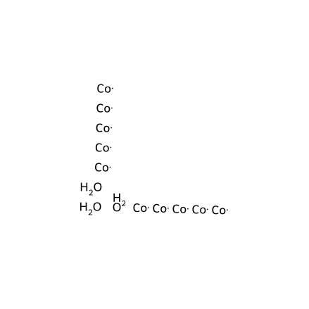 O.O.O.[Co].[Co].[Co].[Co].[Co].[Co].[Co].[Co].[Co].[Co]